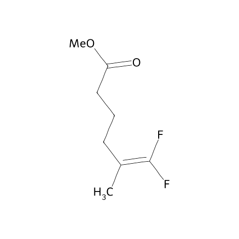 COC(=O)CCCC(C)=C(F)F